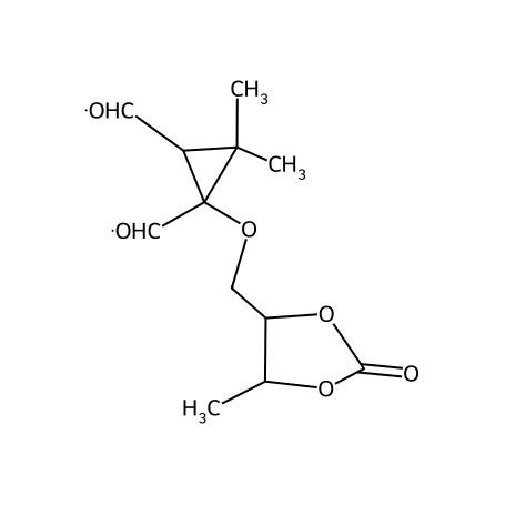 CC1OC(=O)OC1COC1([C]=O)C([C]=O)C1(C)C